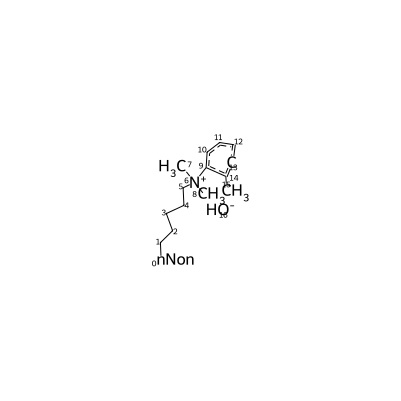 CCCCCCCCCCCCCC[N+](C)(C)c1ccccc1C.[OH-]